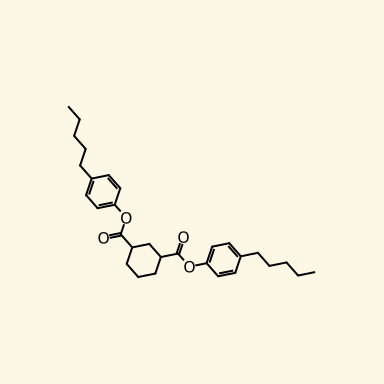 CCCCCc1ccc(OC(=O)C2CCCC(C(=O)Oc3ccc(CCCCC)cc3)C2)cc1